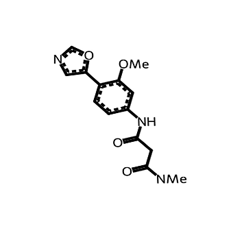 CNC(=O)CC(=O)Nc1ccc(-c2cnco2)c(OC)c1